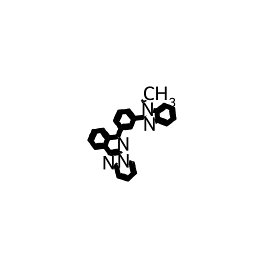 CCn1c(-c2cccc(-c3nc4c(nc5ccccn54)c4ccccc34)c2)nc2ccccc21